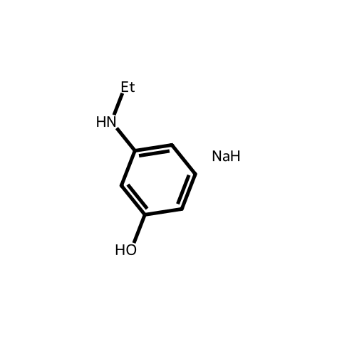 CCNc1cccc(O)c1.[NaH]